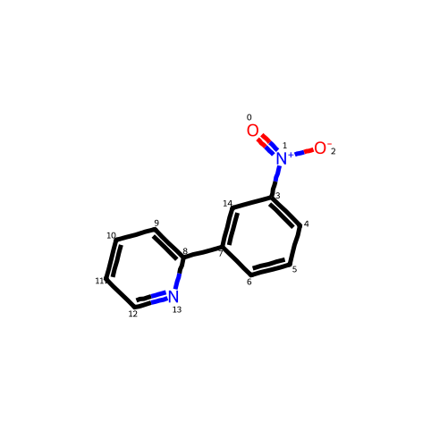 O=[N+]([O-])c1cccc(-c2cc[c]cn2)c1